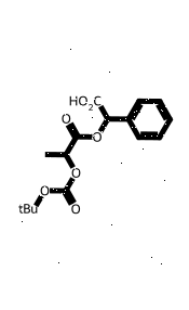 CC(OC(=O)OC(C)(C)C)C(=O)OC(C(=O)O)c1ccccc1